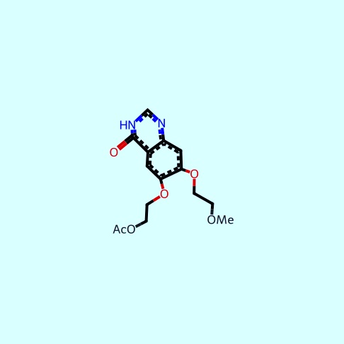 COCCOc1cc2nc[nH]c(=O)c2cc1OCCOC(C)=O